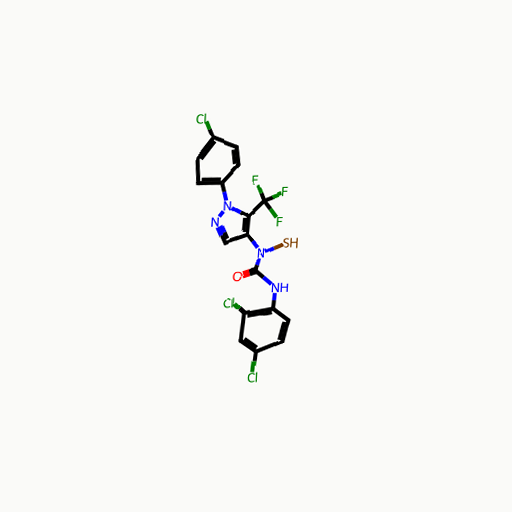 O=C(Nc1ccc(Cl)cc1Cl)N(S)c1cnn(-c2ccc(Cl)cc2)c1C(F)(F)F